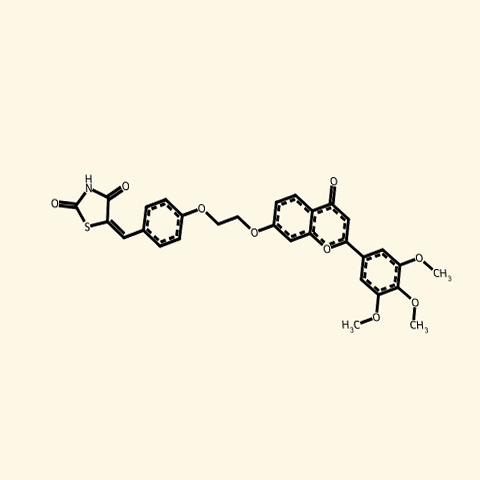 COc1cc(-c2cc(=O)c3ccc(OCCOc4ccc(C=C5SC(=O)NC5=O)cc4)cc3o2)cc(OC)c1OC